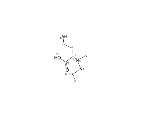 CSSN(C)[C@@H](CCS)C(=O)O